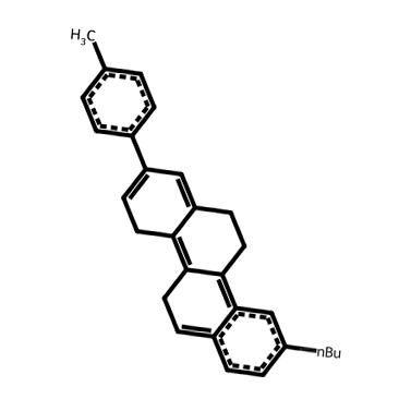 CCCCc1ccc2c(c1)=C1CCC3=CC(c4ccc(C)cc4)=CCC3=C1CC=2